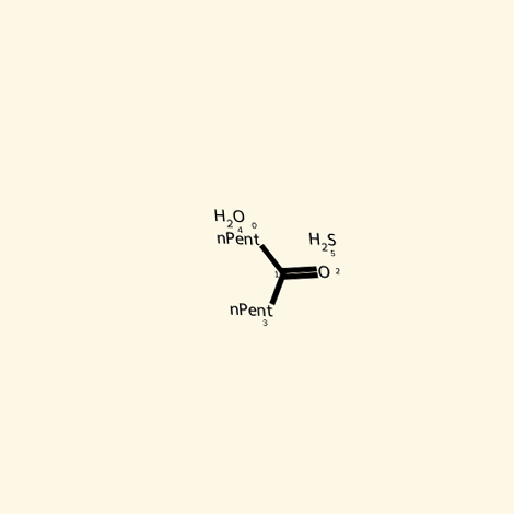 CCCCCC(=O)CCCCC.O.S